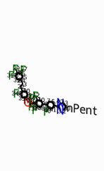 CCCCCc1cnc(-c2ccc(-c3cc(F)c(C(F)(F)Oc4ccc(CCc5cc(F)c(F)c(F)c5)c(F)c4)c(F)c3)c(F)c2)nc1